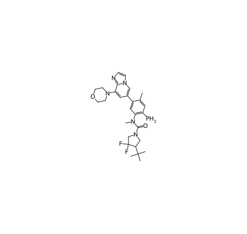 Cc1cc(P)c(N(C)C(=O)N2CC(C(C)(C)C)C(F)(F)C2)cc1-c1cc(N2CCOCC2)c2nccn2c1